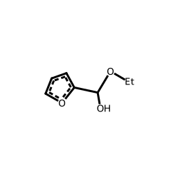 CCOC(O)c1ccco1